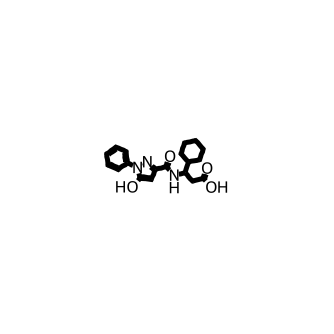 O=C(O)CC(NC(=O)c1cc(O)n(-c2ccccc2)n1)C1CCCCC1